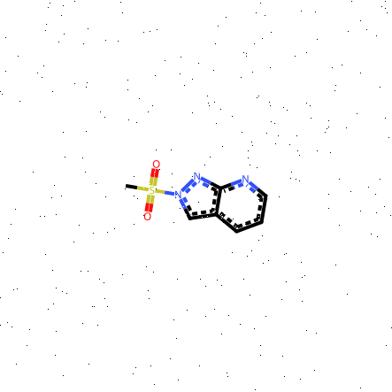 CS(=O)(=O)n1cc2cccnc2n1